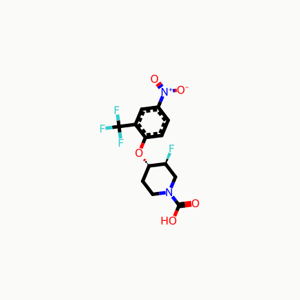 O=C(O)N1CC[C@H](Oc2ccc([N+](=O)[O-])cc2C(F)(F)F)[C@@H](F)C1